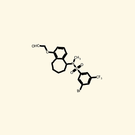 CN(C1CCCCc2c(OCC=O)cccc21)S(=O)(=O)c1cc(Br)cc(C(F)(F)F)c1